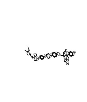 CC(CI)OCCN1CCN(c2ccc(N3CCN(c4ccc(OCC5COC(Cn6cncn6)(c6ccc(F)cc6F)O5)cc4)CC3)cc2)C1=O